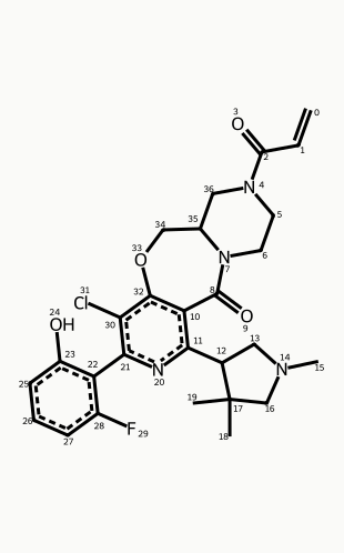 C=CC(=O)N1CCN2C(=O)c3c(C4CN(C)CC4(C)C)nc(-c4c(O)cccc4F)c(Cl)c3OCC2C1